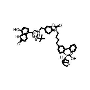 CC(C)(C)[Si](C)(C)O[C@@H](CNCc1ccc2c(c1)oc(=O)n2CCCCc1ccc(N(C(=O)O)[C@H]2CN3CCC2CC3)c(-c2ccccc2)c1)c1ccc(O)c2[nH]c(=O)ccc12